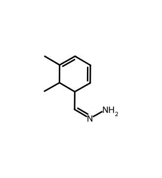 CC1=CC=CC(/C=N\N)C1C